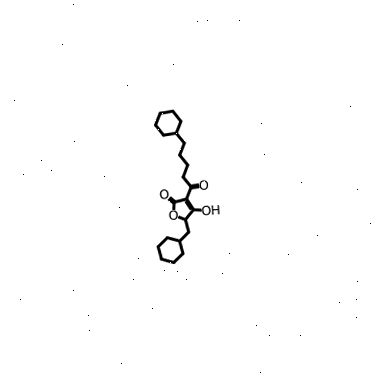 O=C(CCCCC1CCCCC1)C1=C(O)C(CC2CCCCC2)OC1=O